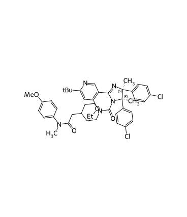 CCOc1cc(C(C)(C)C)ncc1C1=N[C@@](C)(c2ccc(Cl)cc2)[C@@](C)(c2ccc(Cl)cc2)N1C(=O)N1CCC(CC(=O)N(C)c2ccc(OC)cc2)CC1